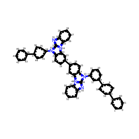 c1ccc(-c2ccc(-c3cccc(-n4c5ccc(-c6ccc7c(c6)n6c8ccccc8nc6n7-c6ccc(-c7ccccc7)cc6)cc5n5c6ccccc6nc45)c3)cc2)cc1